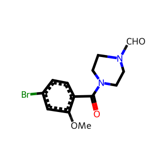 COc1cc(Br)ccc1C(=O)N1CCN(C=O)CC1